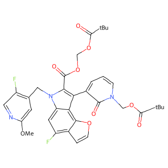 COc1cc(Cn2c(C(=O)OCOC(=O)C(C)(C)C)c(-c3cccn(COC(=O)C(C)(C)C)c3=O)c3c4occc4c(F)cc32)c(F)cn1